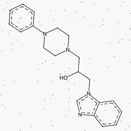 OC(CN1CCN(c2ccccc2)CC1)Cn1cnc2ccccc21